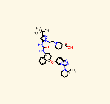 C[C@H]1CCCCN1c1nnc2ccc(O[C@@H]3CC[C@H](NC(=O)Nc4cc(C(C)(C)C)nn4CCN4CCCCC4)c4ccccc43)cn12.O=CO